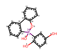 Oc1ccc(O)c([PH]2(O)Oc3ccccc3-c3ccccc32)c1